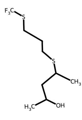 CC(O)CC(C)SCCCSC(F)(F)F